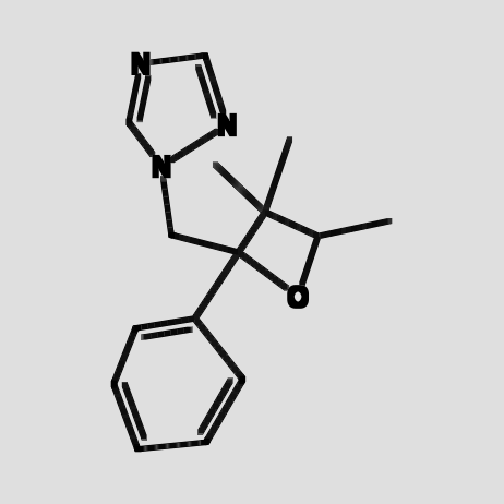 CC1OC(Cn2cncn2)(c2ccccc2)C1(C)C